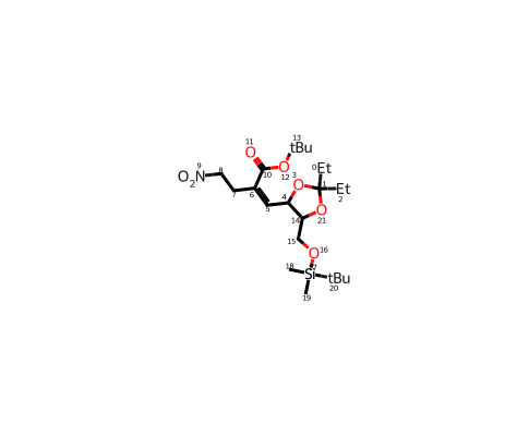 CCC1(CC)OC(C=C(CC[N+](=O)[O-])C(=O)OC(C)(C)C)C(CO[Si](C)(C)C(C)(C)C)O1